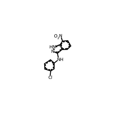 O=[N+]([O-])c1cccc2c(Nc3cccc(Cl)c3)n[nH]c12